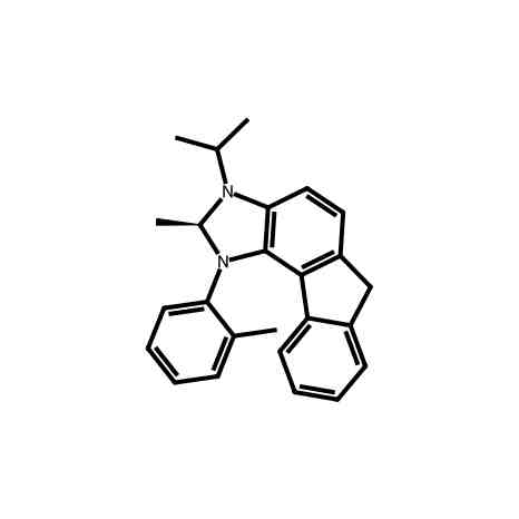 Cc1ccccc1N1c2c(ccc3c2-c2ccccc2C3)N(C(C)C)[C@@H]1C